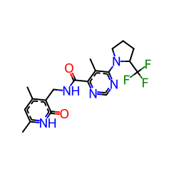 Cc1cc(C)c(CNC(=O)c2ncnc(N3CCCC3C(F)(F)F)c2C)c(=O)[nH]1